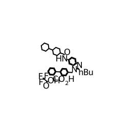 CCCCc1nc2ccc(NC(=O)C3CCC(C4CCCCC4)CC3)cc2n1Cc1ccc(-c2ccccc2C(=O)O)cc1.O=C(O)C(F)(F)F